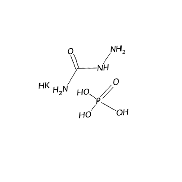 NNC(N)=O.O=P(O)(O)O.[KH]